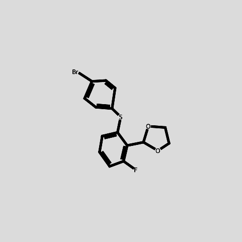 Fc1cccc(Sc2ccc(Br)cc2)c1C1OCCO1